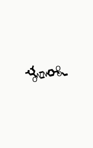 C=CCOC(=O)c1ccc(N2CCN(C(=O)/C(C=C(C)C)=C/C(=C)C)CC2)cc1